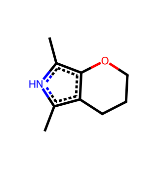 Cc1[nH]c(C)c2c1CCCO2